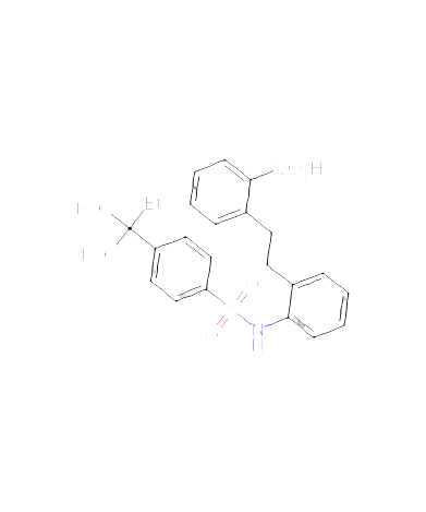 CCC(C)(C)c1ccc(S(=O)(=O)Nc2ccccc2CCc2ccccc2C(=O)O)cc1